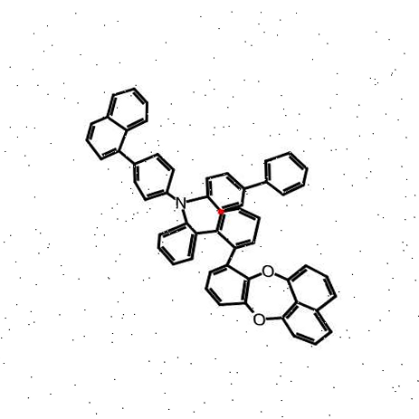 c1ccc(-c2ccc(N(c3ccc(-c4cccc5ccccc45)cc3)c3ccccc3-c3ccccc3-c3cccc4c3Oc3cccc5cccc(c35)O4)cc2)cc1